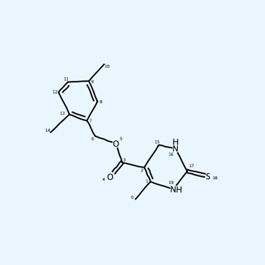 CC1=C(C(=O)OCc2cc(C)ccc2C)CNC(=S)N1